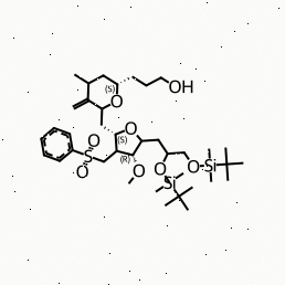 C=C1C(C)C[C@H](CCCO)OC1C[C@@H]1OC(CC(CO[Si](C)(C)C(C)(C)C)O[Si](C)(C)C(C)(C)C)[C@H](OC)C1CS(=O)(=O)c1ccccc1